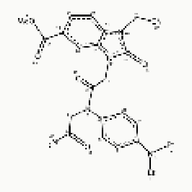 CCN(CC)c1ccc(N(CC(N)=O)C(=O)Cn2c(=O)n(CC#N)c3ccc(C(=O)OC)cc32)cc1